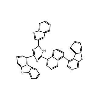 c1ccc2cc(C3N=C(c4cccc5oc6ccccc6c45)N=C(c4cccc5c(-c6cncc7oc8ccccc8c67)cccc45)N3)ccc2c1